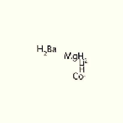 [BaH2].[Co].[LiH].[MgH2]